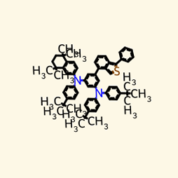 CC(C)(C)c1ccc(N(c2ccc(C(C)(C)C)cc2)c2cc(-c3cccc4c(-c5ccccc5)scc34)cc(N(c3ccc(C(C)(C)C)cc3)c3ccc4c(c3)C(C)(C)CCC4(C)C)c2)cc1